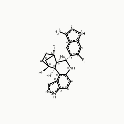 Nc1n[nH]c2cc(F)c([C@@H]3Nc4ccc5[nH]ncc5c4[C@H]4[C@@H]5CC[C@@H](C5)[C@H]43)cc12